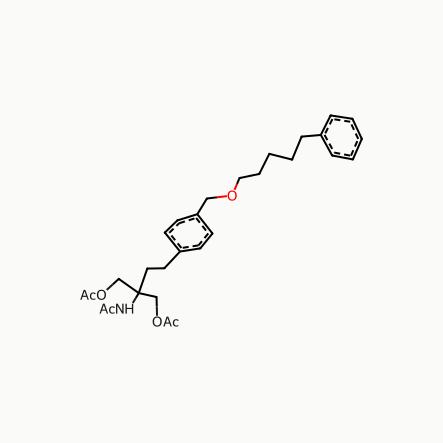 CC(=O)NC(CCc1ccc(COCCCCCc2ccccc2)cc1)(COC(C)=O)COC(C)=O